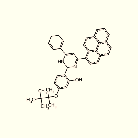 CC(C)(C)C(C)(C)Oc1ccc(C2N=C(c3ccc4ccc5cccc6ccc3c4c56)C=C(C3=CCCC=C3)N2)c(O)c1